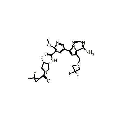 COc1ncc(-c2cc(CN3CC(F)(F)C3)c3c(N)ncnn23)cc1C(=O)N[C@@H]1CN(C(=O)C2CC2(F)F)C[C@@H]1F